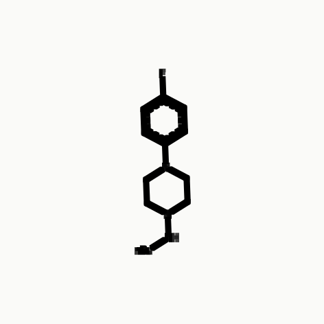 CCCCNN1CCN(c2ccc(F)cc2)CC1